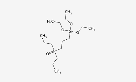 CCCP(=O)(CCC)CCC[Si](OCC)(OCC)OCC